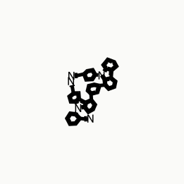 N#Cc1ccc(-n2c3ccccc3c3cccc(-c4cccc(-c5cccc6c5c5cc(C#N)ccc5n6-c5ccccc5C#N)c4)c32)cc1